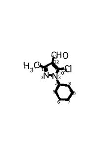 Cc1nn(C2CCCCC2)c(Cl)c1C=O